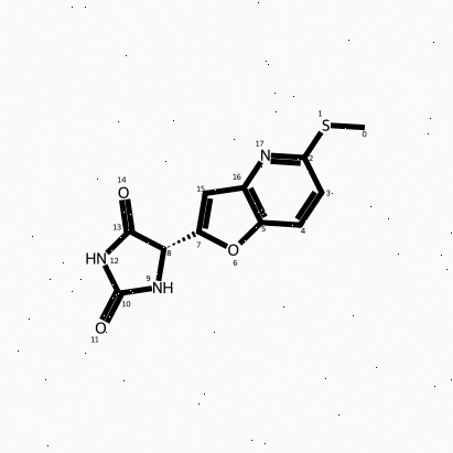 CSc1ccc2oc([C@@H]3NC(=O)NC3=O)cc2n1